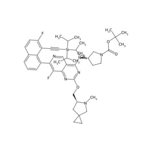 CC(C)[Si](C#Cc1c(F)ccc2cccc(-c3ncc4c(N(C)[C@@H]5CCN(C(=O)OC(C)(C)C)C5)nc(OC[C@@H]5CC6(CC6)CN5C)nc4c3F)c12)(C(C)C)C(C)C